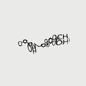 C[C@H](Oc1ccc(S(=O)(=O)c2ccc(CCNC[C@@H](O)c3cccc(Cl)c3)cc2)cc1)C(=O)O